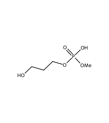 COP(=O)(O)OCCCO